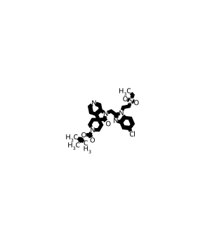 CCS(=O)(=O)CCn1c(CN2C(=O)C3(CCN(C(=O)OC(C)(C)C)CC3)c3ccncc32)nc2cc(Cl)ccc21